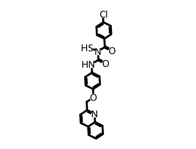 O=C(Nc1ccc(OCc2ccc3ccccc3n2)cc1)N(S)C(=O)c1ccc(Cl)cc1